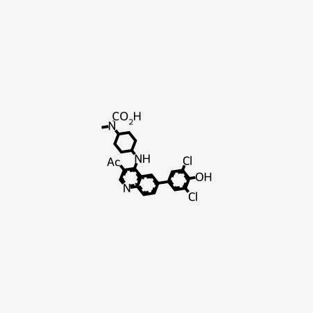 CC(=O)c1cnc2ccc(-c3cc(Cl)c(O)c(Cl)c3)cc2c1NC1CCC(N(C)C(=O)O)CC1